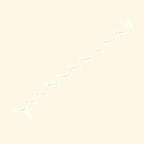 CCCCCCCCCCC=CCC=CCCCCC(=O)O